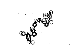 CC(=O)N1CCn2c(C3CCOCC3)nc(-c3cccc4cc(-c5ccc(O[C@H]6CCN(C(=O)Cc7cccc8c7CN(C7CCC(=O)NC7=O)C8=O)C6)cc5)ncc34)c2C1